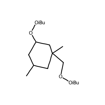 CC(C)COOCC1(C)CC(C)CC(OOCC(C)C)C1